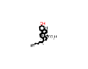 CC(C)CCC[C@@H](C)[C@H]1CC[C@@]2(CC(=O)O)C3=CC[C@H]4C[C@@H](O)CC[C@]4(C)[C@H]3CC[C@]12C